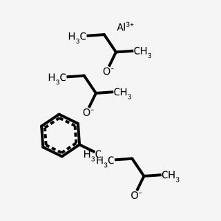 CCC(C)[O-].CCC(C)[O-].CCC(C)[O-].Cc1ccccc1.[Al+3]